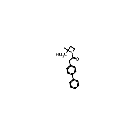 CC1(C(=O)O)CCN1C(=O)Cc1ccc(-c2ccccc2)cc1